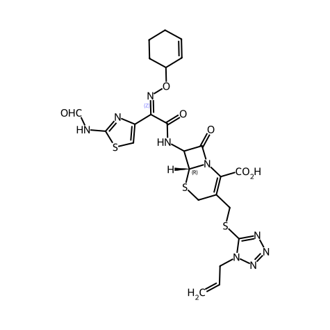 C=CCn1nnnc1SCC1=C(C(=O)O)N2C(=O)C(NC(=O)/C(=N\OC3C=CCCC3)c3csc(NC=O)n3)[C@H]2SC1